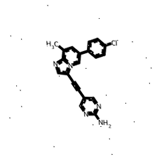 Cc1cc(-c2ccc(Cl)cc2)cn2c(C#Cc3cnc(N)nc3)cnc12